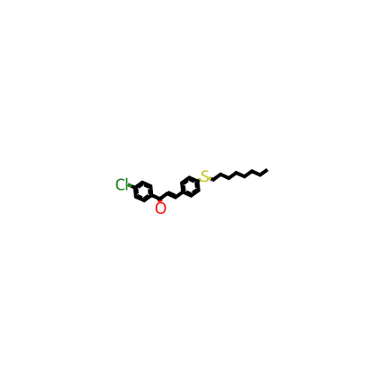 CCCCCCCCSc1ccc(C=CC(=O)c2ccc(Cl)cc2)cc1